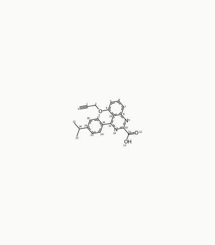 C#CCOc1cccc2nc(C(=O)O)nc(-c3ccc(C(C)C)cc3)c12